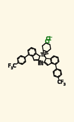 CCC1=Cc2c(-c3ccc(C(F)(F)F)cc3)cccc2[CH]1[Ti+2]1([CH]2C(CC)=Cc3c(-c4ccc(C(F)(F)F)cc4)cccc32)[CH]2CCCC[CH]21.[Cl-].[Cl-]